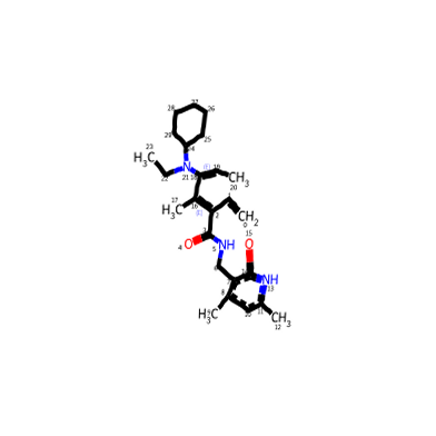 C=C/C(C(=O)NCc1c(C)cc(C)[nH]c1=O)=C(C)\C(=C/C)N(CC)C1CCCCC1